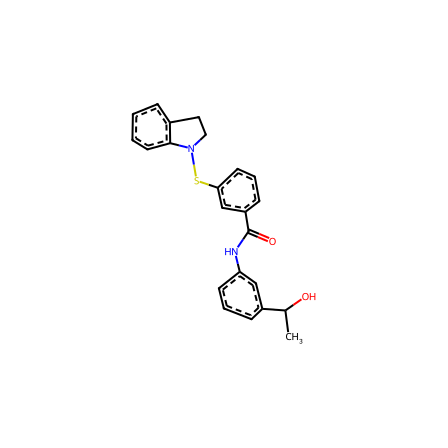 CC(O)c1cccc(NC(=O)c2cccc(SN3CCc4ccccc43)c2)c1